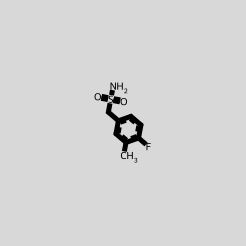 Cc1cc(CS(N)(=O)=O)ccc1F